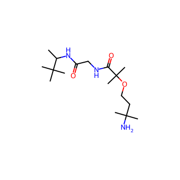 CC(NC(=O)CNC(=O)C(C)(C)OCCC(C)(C)N)C(C)(C)C